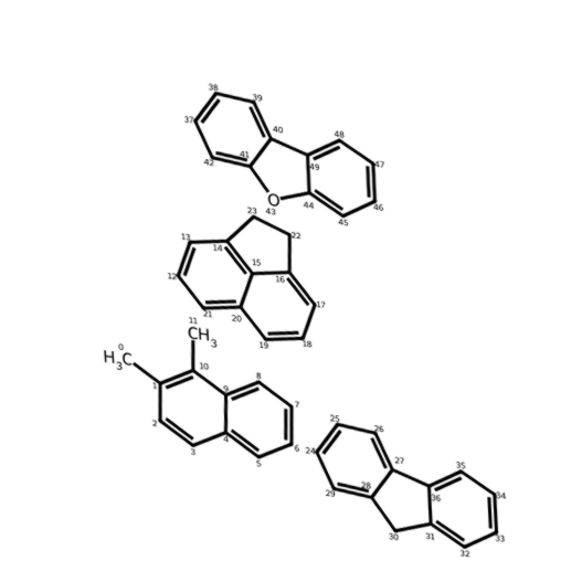 Cc1ccc2ccccc2c1C.c1cc2c3c(cccc3c1)CC2.c1ccc2c(c1)Cc1ccccc1-2.c1ccc2c(c1)oc1ccccc12